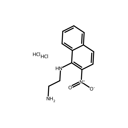 Cl.Cl.NCCNc1c([N+](=O)[O-])ccc2ccccc12